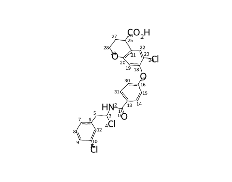 O=C(NC(Cl)Cc1cccc(Cl)c1)c1ccc(Oc2cc3c(cc2Cl)C(C(=O)O)CCO3)cc1